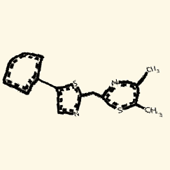 Cc1nc(-c2ncc(-c3ccccc3)s2)sc1C